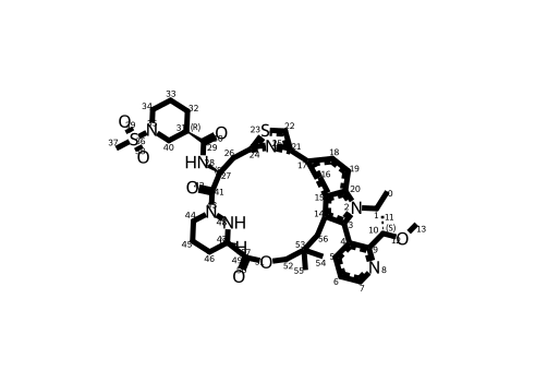 CCn1c(-c2cccnc2[C@H](C)OC)c2c3cc(ccc31)-c1csc(n1)C[C@H](NC(=O)[C@@H]1CCCN(S(C)(=O)=O)C1)C(=O)N1CCC[C@H](N1)C(=O)OCC(C)(C)C2